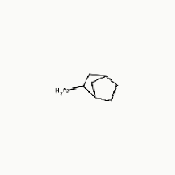 [AsH2]C1CC2CCC1C2